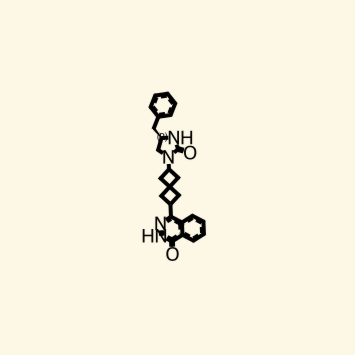 O=C1N[C@H](Cc2ccccc2)CN1C1CC2(CC(c3n[nH]c(=O)c4ccccc34)C2)C1